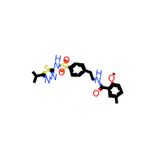 COc1ccc(C)cc1C(=O)NCCc1ccc(S(=O)(=O)Nc2nnc(C(C)C)s2)cc1